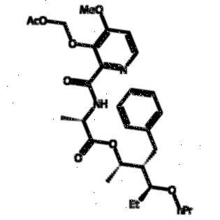 CCCO[C@@H](CC)[C@@H](Cc1ccccc1)[C@H](C)OC(=O)[C@H](C)NC(=O)c1nccc(OC)c1OCOC(C)=O